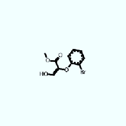 COC(=O)C(=CO)Oc1ccccc1Br